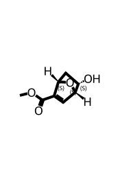 COC(=O)C1=C[C@@H]2O[C@H]1C[C@@H]2O